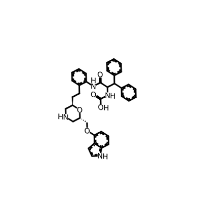 O=C(O)NC(C(=O)Nc1ccccc1CC[C@@H]1CNC[C@@H](COc2cccc3[nH]ccc23)O1)C(c1ccccc1)c1ccccc1